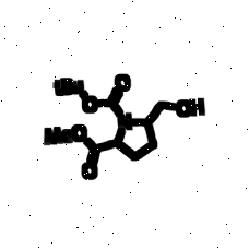 COC(=O)C1CCC(CO)N1C(=O)OC(C)(C)C